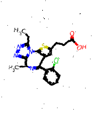 CCc1nnc2n1-c1sc(CCC(=O)O)cc1C(c1ccccc1Cl)=NC2C